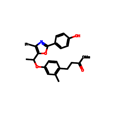 COC(=O)CCc1ccc(OC(C)c2oc(-c3ccc(O)cc3)nc2C(C)C)cc1C